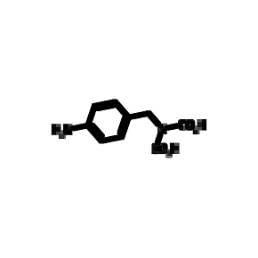 Nc1ccc(CN(C(=O)O)S(=O)(=O)O)cc1